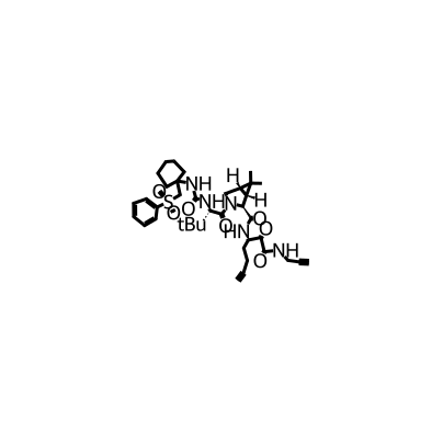 C#CCCC(NC(=O)[C@@H]1[C@@H]2[C@H](CN1C(=O)[C@@H](NC(=O)NC1(CS(=O)(=O)c3ccccc3)CCCCC1)C(C)(C)C)C2(C)C)C(=O)C(=O)NCC#C